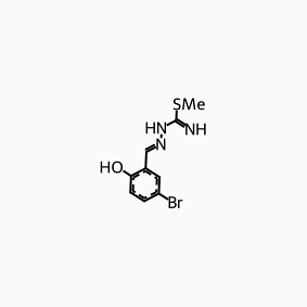 CSC(=N)NN=Cc1cc(Br)ccc1O